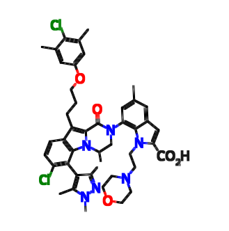 Cc1cc(N2CC(C)n3c(c(CCCOc4cc(C)c(Cl)c(C)c4)c4ccc(Cl)c(-c5c(C)nn(C)c5C)c43)C2=O)c2c(c1)cc(C(=O)O)n2CCN1CCOCC1